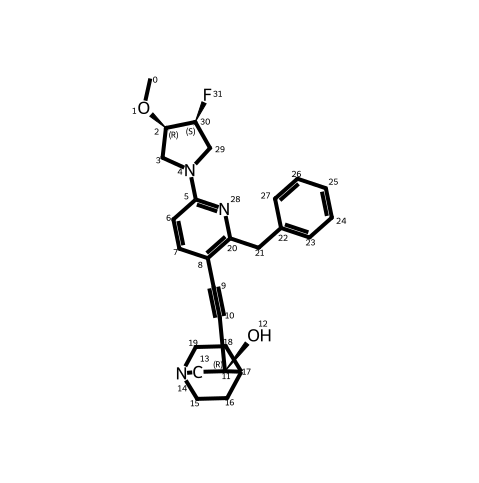 CO[C@@H]1CN(c2ccc(C#C[C@@]3(O)CN4CCC3CC4)c(Cc3ccccc3)n2)C[C@@H]1F